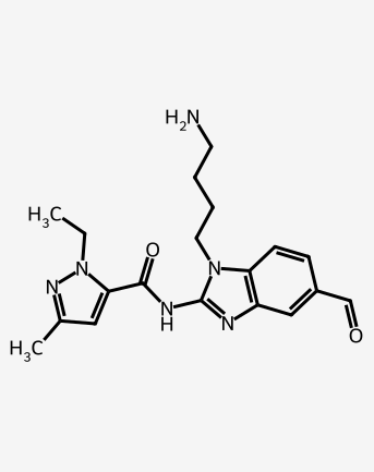 CCn1nc(C)cc1C(=O)Nc1nc2cc(C=O)ccc2n1CCCCN